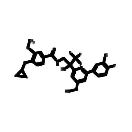 COc1cc(C(=O)NCC(O)(c2cc(CO)cc(-c3ccc(F)c(Cl)c3)n2)C(F)(F)F)ccc1OC1CC1